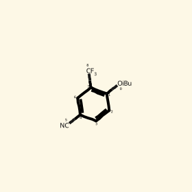 CC(C)COc1ccc(C#N)cc1C(F)(F)F